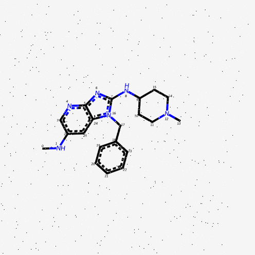 CNc1cnc2nc(NC3CCN(C)CC3)n(Cc3ccccc3)c2c1